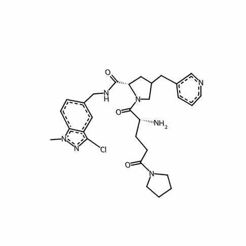 Cn1nc(Cl)c2cc(CNC(=O)[C@@H]3CC(Cc4cccnc4)CN3C(=O)[C@H](N)CCC(=O)N3CCCC3)ccc21